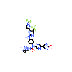 COc1ncc(-c2cnc(N(C(=O)NCC3(N)CC3)C3CCC(Nc4ncc(C(F)(F)F)c(-c5ccn(C(F)F)n5)n4)CC3)cn2)cn1